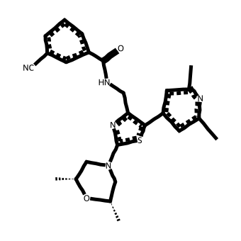 Cc1cc(-c2sc(N3C[C@@H](C)O[C@@H](C)C3)nc2CNC(=O)c2cccc(C#N)c2)cc(C)n1